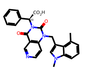 Cc1cccc2c1c(Cn1c(=O)n([C@H](C(=O)O)c3ccccc3)c(=O)c3cnccc31)cn2C